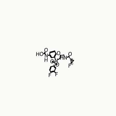 O=C(O)Nc1ccc2c(c1)N(S(=O)(=O)c1ccc(F)c(F)c1)C[C@H](CNC(=O)[C@H]1C[C@@H]1F)O2